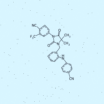 CC1(C)C(=O)N(c2ccc(C#N)c(C(F)(F)F)c2)C(=O)N1Cc1ccccc1Nc1ccc(C#N)cc1